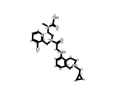 CN(CCN(Cc1ncccc1Cl)C(=O)CNc1cccc2c1CCN(CC1CC1)C2)C(=O)O